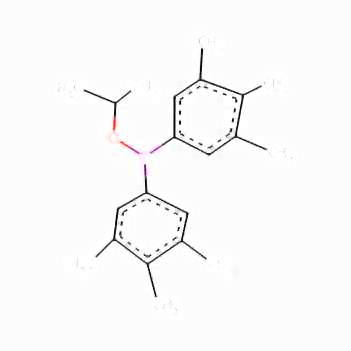 Cc1cc(P(OC(C)C)c2cc(C)c(C)c(C)c2)cc(C)c1C